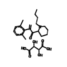 CCCCN1CCCCC1C(=O)Nc1c(C)cccc1C.O=C(O)C(O)C(O)C(=O)O